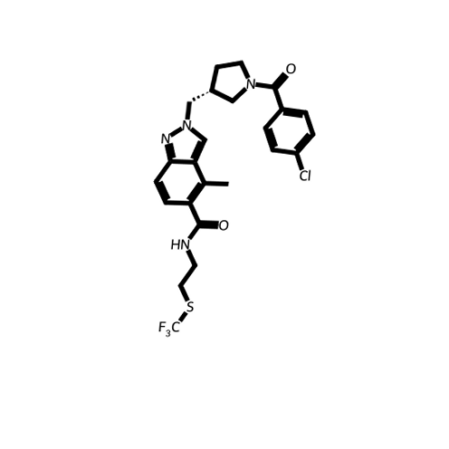 Cc1c(C(=O)NCCSC(F)(F)F)ccc2nn(C[C@@H]3CCN(C(=O)c4ccc(Cl)cc4)C3)cc12